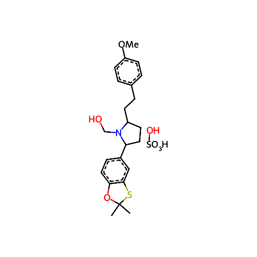 COc1ccc(CCC2CCC(c3ccc4c(c3)SC(C)(C)O4)N2CO)cc1.O=S(=O)(O)O